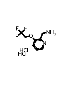 Cl.Cl.NCc1ncccc1OCC(F)(F)F